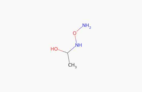 CC(O)NON